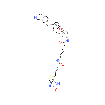 C[C@]12CC=C3C=C4C=C[C@@H](NC(=O)CCCCCNC(=O)CCCC[C@@H]5SC[C@]6(C)NC(=O)N[C@]56C)C[C@]45CC[C@]3(O5)[C@@H]1CC[C@@H]2c1ccc2ccncc2c1